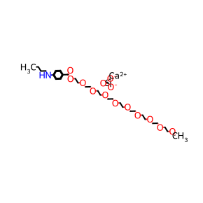 CCCCNc1ccc(C(=O)OCCOCCOCCOCCOCCOCCOCCOCCOCCOC)cc1.O=[Si]([O-])[O-].[Ca+2]